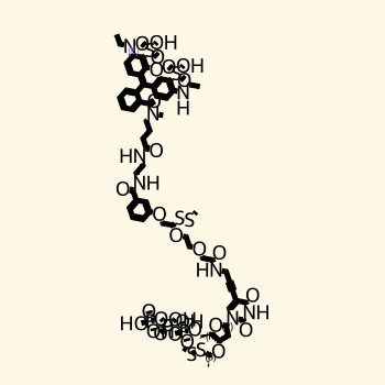 CC/N=c1\ccc2c(-c3ccccc3C(=O)N(C)CCCC(=O)NCCNC(=O)c3cccc(OCC(OCCOCC(=O)NCC#Cc4cn([C@H]5CC(O[C@H](C)SSC)[C@@H](COP(=O)(O)OP(=O)(O)OP(=O)(O)O)O5)c(=O)[nH]c4=O)SSC)c3)c3ccc(NCC)c(S(=O)(=O)O)c3oc-2c1S(=O)(=O)O